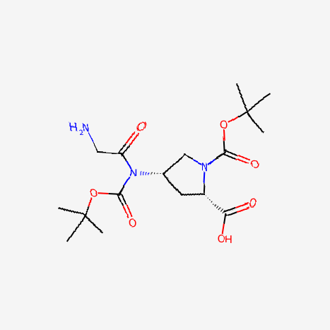 CC(C)(C)OC(=O)N1C[C@@H](N(C(=O)CN)C(=O)OC(C)(C)C)C[C@H]1C(=O)O